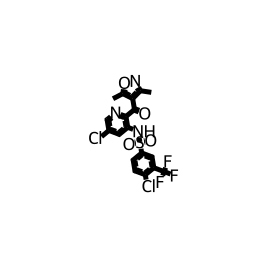 Cc1noc(C)c1C(=O)c1ncc(Cl)cc1NS(=O)(=O)c1ccc(Cl)c(C(F)(F)F)c1